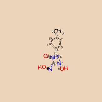 Cc1ccc(C2=CN(O)C(=NO)[NH+]2[O-])cc1